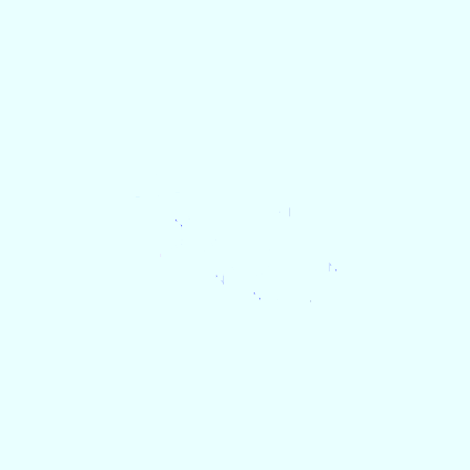 CCSc1cc(C2(C#N)CC2)cnc1-c1cc2ccn(CC(F)(F)C(F)(F)F)c(=O)c2cn1